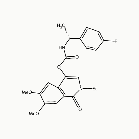 CCn1cc(OC(=O)N[C@H](C)c2ccc(F)cc2)c2cc(OC)c(OC)cc2c1=O